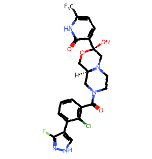 O=C(c1cccc(-c2c[nH]nc2F)c1Cl)N1CCN2C[C@@](O)(c3ccc(C(F)(F)F)[nH]c3=O)OC[C@@H]2C1